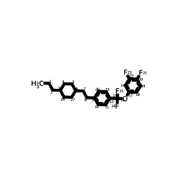 CCCC1CCC(CCc2ccc(C(F)(F)Oc3ccc(F)c(F)c3)cc2)CC1